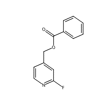 O=C(OCc1ccnc(F)c1)c1ccccc1